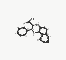 N[C@H](C(=O)O)C(Oc1c(O)ccc2ccccc12)c1ccccc1